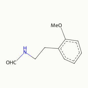 COc1ccccc1CCNC=O